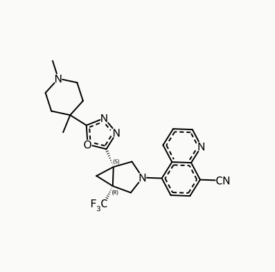 CN1CCC(C)(c2nnc([C@]34CN(c5ccc(C#N)c6ncccc56)C[C@@]3(C(F)(F)F)C4)o2)CC1